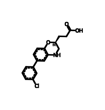 O=C(O)CC[C@H]1CNc2cc(-c3cccc(Cl)c3)ccc2O1